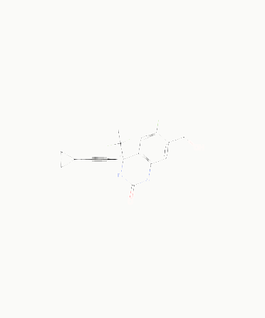 CC(F)(F)[C@@]1(C#CC2CC2)NC(=O)Nc2cc(CO)c(F)cc21